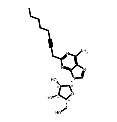 CCCCCC#CCc1nc(N)c2ncn([C@@H]3O[C@H](CO)[C@@H](O)[C@H]3O)c2n1